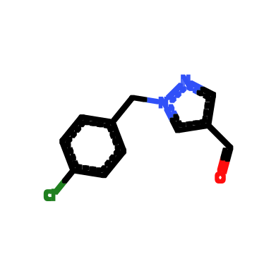 O=Cc1cnn(Cc2ccc(Cl)cc2)c1